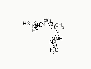 Cc1c(CN2CCC(Nc3ncnc4sc(CC(F)(F)F)cc34)CC2)ccc2c1cc(C#N)n2CC(C)N1CCN(S(=O)(=O)NCCO)CC1